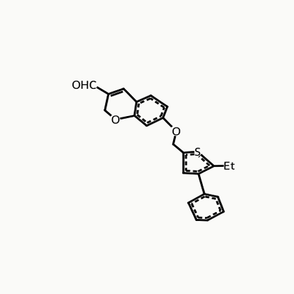 CCc1sc(COc2ccc3c(c2)OCC(C=O)=C3)cc1-c1ccccc1